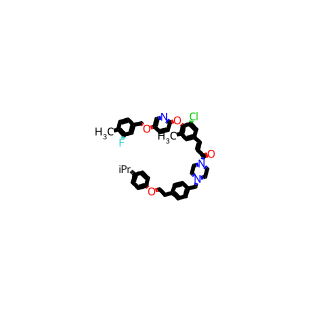 Cc1ccc(COc2ccc(Oc3c(C)cc(C=CC(=O)N4CCN(Cc5ccc(CCOc6ccc(C(C)C)cc6)cc5)CC4)cc3Cl)nc2)cc1F